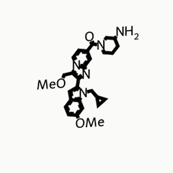 COCc1c(-c2cc3ccc(OC)cc3n2CC2CC2)nc2cc(C(=O)N3CCCC(N)C3)ccn12